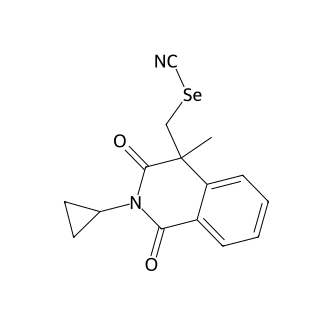 CC1(C[Se]C#N)C(=O)N(C2CC2)C(=O)c2ccccc21